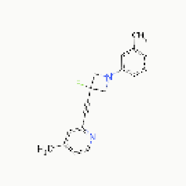 Cc1cccc(N2CC(F)(C#Cc3cc(C)ccn3)C2)c1